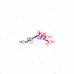 C#CCCC(=O)NCCCC[C@H](NC(=O)NC(CCC(=O)O)C(=O)O)C(=O)O